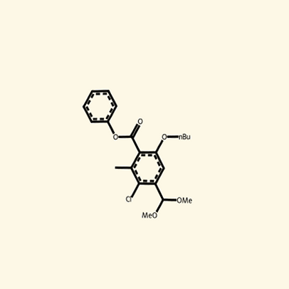 CCCCOc1cc(C(OC)OC)c(Cl)c(C)c1C(=O)Oc1ccccc1